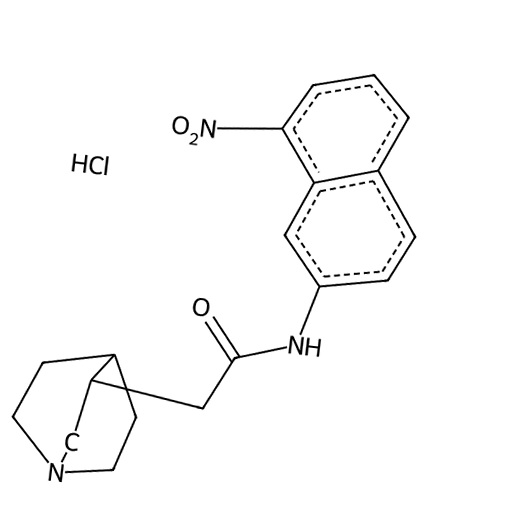 Cl.O=C(CC1CN2CCC1CC2)Nc1ccc2cccc([N+](=O)[O-])c2c1